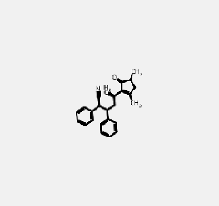 C=C(CC(c1ccccc1)C(C#N)c1ccccc1)C1=C(C)CC(C)C1=O